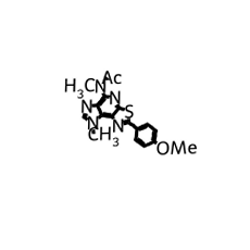 COc1ccc(-c2nc3c(nc(N(C)C(C)=O)c4ncn(C)c43)s2)cc1